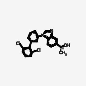 C[C@@H](O)c1ccc2c(c1)ncn2-c1cccc(-c2c(Cl)cccc2Cl)c1